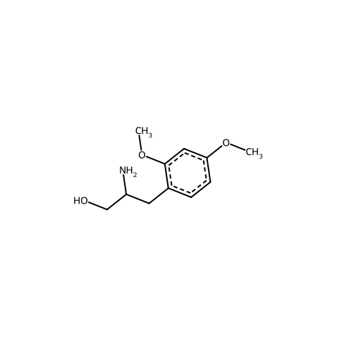 COc1ccc(CC(N)CO)c(OC)c1